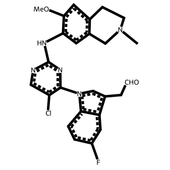 COc1cc2c(cc1Nc1ncc(Cl)c(-n3cc(CC=O)c4cc(F)ccc43)n1)CN(C)CC2